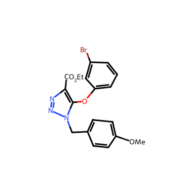 CCOC(=O)c1nnn(Cc2ccc(OC)cc2)c1Oc1cccc(Br)c1